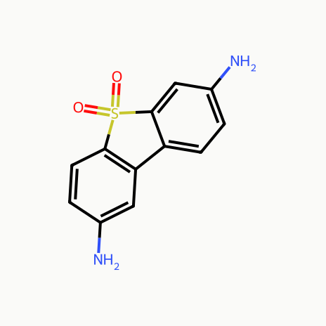 Nc1ccc2c(c1)-c1ccc(N)cc1S2(=O)=O